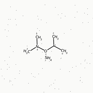 CC(C)ON(C)C.[SiH4]